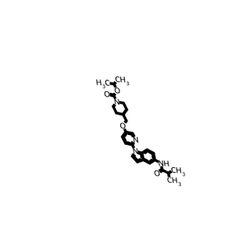 CC(C)OC(=O)N1CCC(COc2ccc(-n3ccc4cc(NC(=O)C(C)C)ccc43)nc2)CC1